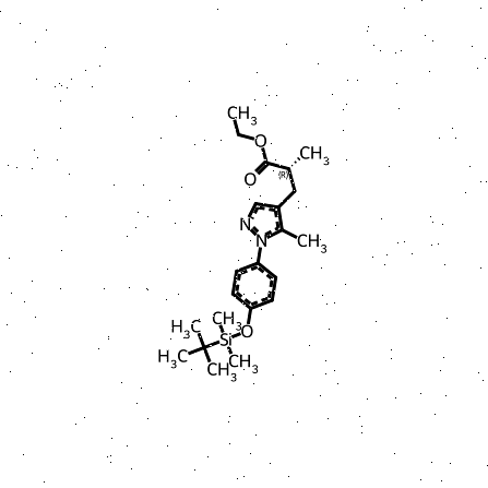 CCOC(=O)[C@H](C)Cc1cnn(-c2ccc(O[Si](C)(C)C(C)(C)C)cc2)c1C